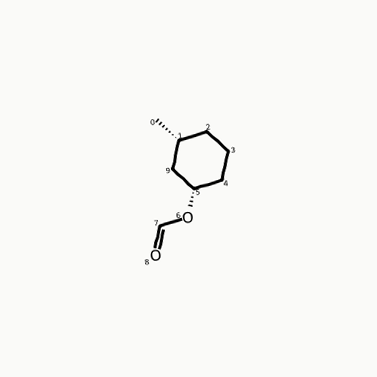 C[C@@H]1CCC[C@H](OC=O)C1